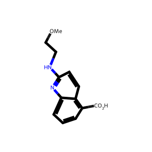 COCCNc1ccc2c(C(=O)O)cccc2n1